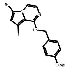 COc1ccc(CNc2nccn3c(Br)cc(I)c23)cc1